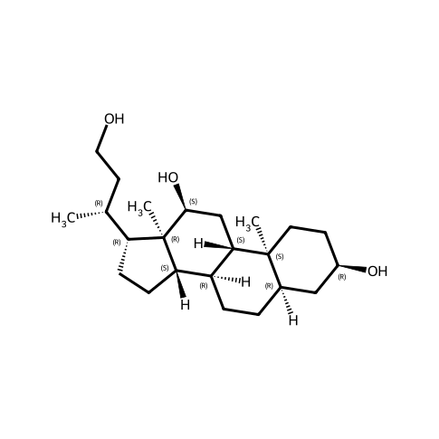 C[C@H](CCO)[C@H]1CC[C@H]2[C@@H]3CC[C@@H]4C[C@H](O)CC[C@]4(C)[C@H]3C[C@H](O)[C@]12C